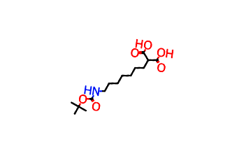 CC(C)(C)OC(=O)NCCCCCCCC(C(=O)O)C(=O)O